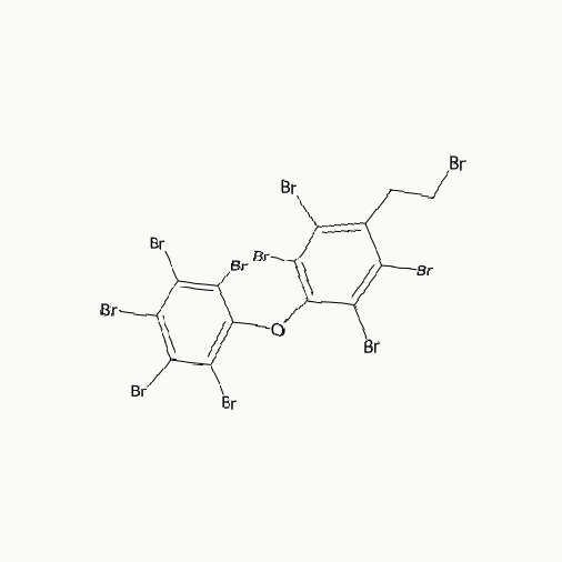 BrCCc1c(Br)c(Br)c(Oc2c(Br)c(Br)c(Br)c(Br)c2Br)c(Br)c1Br